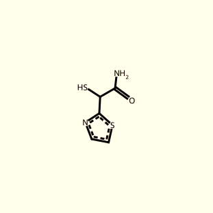 NC(=O)C(S)c1nccs1